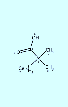 CC(C)(C)C(=O)O.[Ce]